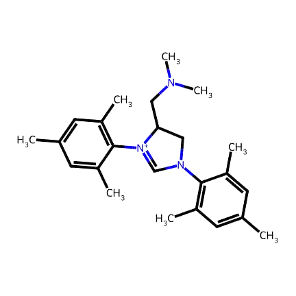 Cc1cc(C)c(N2C=[N+](c3c(C)cc(C)cc3C)C(CN(C)C)C2)c(C)c1